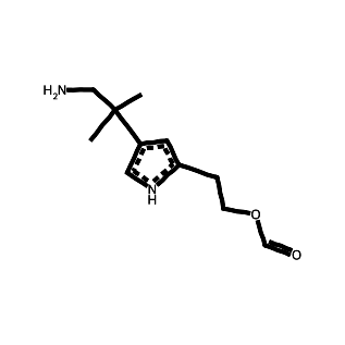 CC(C)(CN)c1c[nH]c(CCOC=O)c1